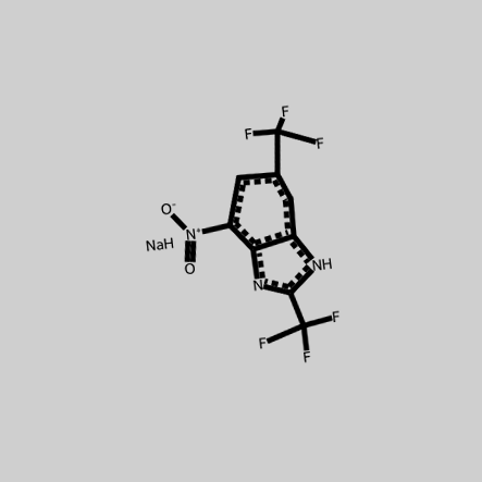 O=[N+]([O-])c1cc(C(F)(F)F)cc2[nH]c(C(F)(F)F)nc12.[NaH]